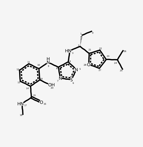 CC[C@@H](Nc1nsnc1Nc1cccc(C(=O)NC)c1O)c1cc(C(C)C)co1